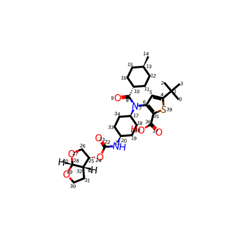 CC(C)(C)c1cc(N(C(=O)[C@H]2CC[C@H](C)CC2)[C@H]2CC[C@@H](NC(=O)O[C@H]3CO[C@H]4OCC[C@H]43)CC2)c(C(=O)O)s1